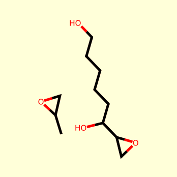 CC1CO1.OCCCCCC(O)C1CO1